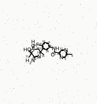 Cc1cnc(C(=O)Nc2ccc(F)c(C3(C)CS(O)(O)C(C)(C)C(N)=N3)c2)cn1